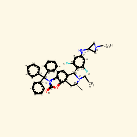 C[C@@H]1Cc2c(ccc3c2oc(=O)n3C(c2ccccc2)(c2ccccc2)c2ccccc2)[C@@H](c2c(F)cc(NC3CN(C(=O)O)C3)cc2F)N1CC(F)(F)F